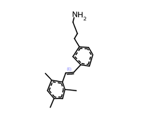 Cc1cc(C)c(/C=C/c2cccc(CCCN)c2)c(C)c1